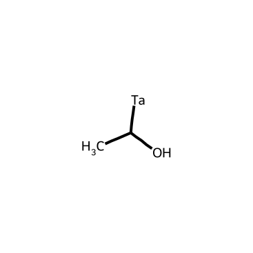 C[CH](O)[Ta]